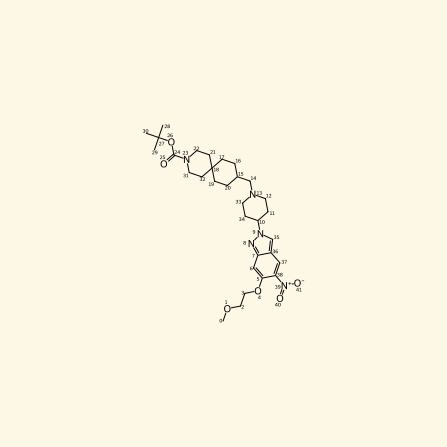 COCCOc1cc2nn(C3CCN(CC4CCC5(CC4)CCN(C(=O)OC(C)(C)C)CC5)CC3)cc2cc1[N+](=O)[O-]